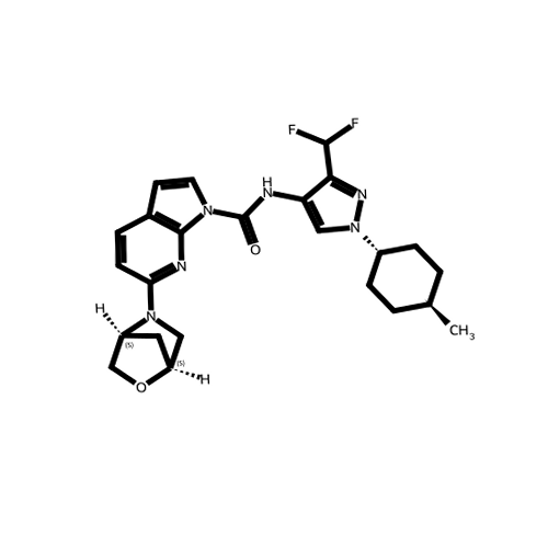 C[C@H]1CC[C@H](n2cc(NC(=O)n3ccc4ccc(N5C[C@@H]6C[C@H]5CO6)nc43)c(C(F)F)n2)CC1